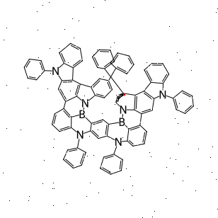 c1ccc(-c2ccc3c(c2)c2c4c5ccccc5n(-c5ccccc5)c4cc4c2n3B2c3cc5c(cc3N(c3ccccc3)c3cccc-4c32)N(c2ccccc2)c2cccc3c2B5n2c4ccc(-c5ccccc5)cc4c4c5c6ccccc6n(-c6ccccc6)c5cc-3c42)cc1